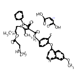 CNCC(=O)O[C@H](C)Cn1c(C)c(C(=O)Nc2ccc(Oc3ccnc4cc(OC)ccc34)c(F)c2)c(=O)n1-c1ccccc1.O=C(O)/C=C\C(=O)O